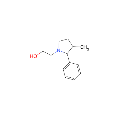 CC1CCN(CCO)C1c1ccccc1